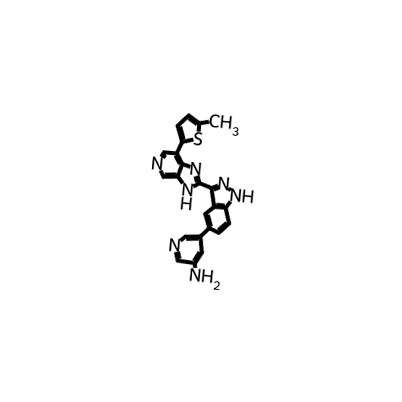 Cc1ccc(-c2cncc3[nH]c(-c4n[nH]c5ccc(-c6cncc(N)c6)cc45)nc23)s1